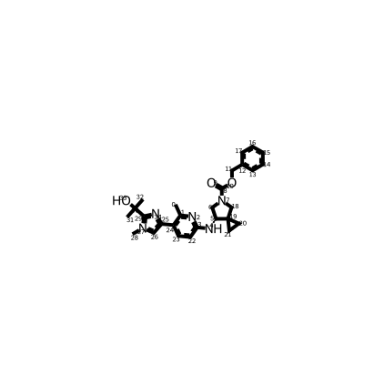 Cc1nc(N[C@@H]2CN(C(=O)OCc3ccccc3)CC23CC3)ccc1-c1cn(C)c(C(C)(C)O)n1